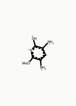 COc1nc(O)c(N)cc1N